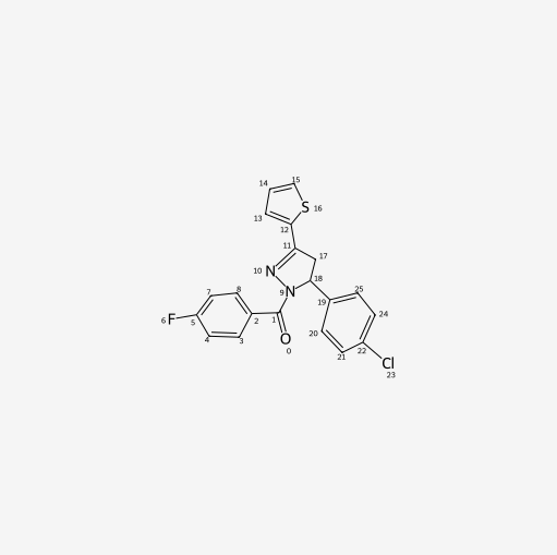 O=C(c1ccc(F)cc1)N1N=C(c2cccs2)CC1c1ccc(Cl)cc1